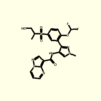 CC(CO)S(=O)(=O)c1ccc(OC(F)F)c(-c2nn(C)cc2NC(=O)c2cnn3cccnc23)c1